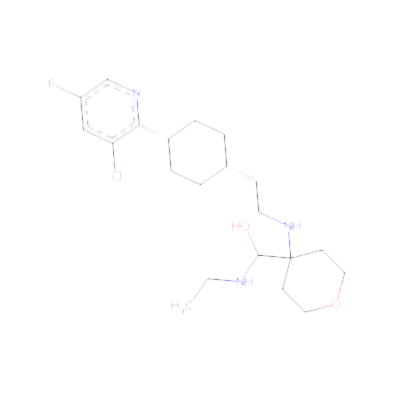 CCNC(O)C1(NCC[C@H]2CC[C@@H](c3ncc(F)cc3Cl)CC2)CCOCC1